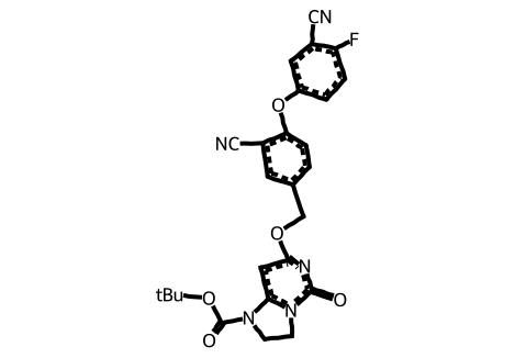 CC(C)(C)OC(=O)N1CCn2c1cc(OCc1ccc(Oc3ccc(F)c(C#N)c3)c(C#N)c1)nc2=O